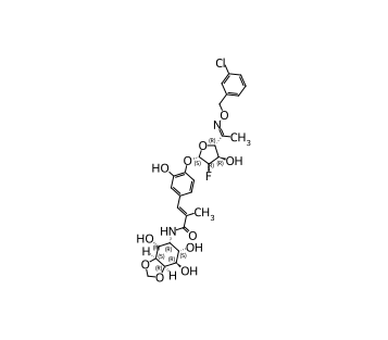 CC(=Cc1ccc(O[C@@H]2O[C@H](C(C)=NOCc3cccc(Cl)c3)[C@@H](O)[C@H]2F)c(O)c1)C(=O)N[C@@H]1[C@H](O)[C@@H](O)[C@H]2OCO[C@H]2[C@@H]1O